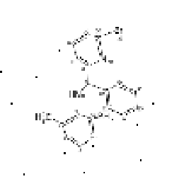 Cc1cccc(P)c1NC(c1ccccc1)c1cccc(Br)n1